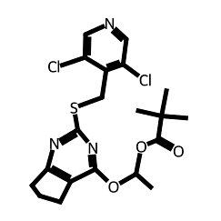 CC(OC(=O)C(C)(C)C)Oc1nc(SCc2c(Cl)cncc2Cl)nc2c1CCC2